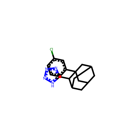 Clc1cccc(C23CC4CC(CC(C4)[C]2c2nnn[nH]2)C3)c1